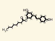 CCCCCCCC(=O)Oc1cc(O)cc(C=Cc2ccc(O)cc2)c1